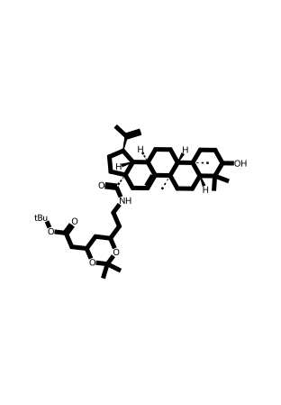 C=C(C)[C@@H]1CC[C@]2(C(=O)NCCC3CC(CC(=O)OC(C)(C)C)OC(C)(C)O3)CC=C3[C@H](CC[C@@H]4[C@@]5(C)CCC(O)C(C)(C)[C@@H]5CC[C@@]34C)[C@@H]12